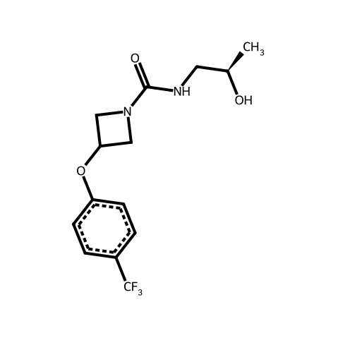 C[C@@H](O)CNC(=O)N1CC(Oc2ccc(C(F)(F)F)cc2)C1